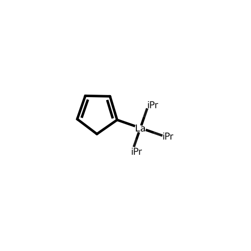 C[CH](C)[La]([C]1=CC=CC1)([CH](C)C)[CH](C)C